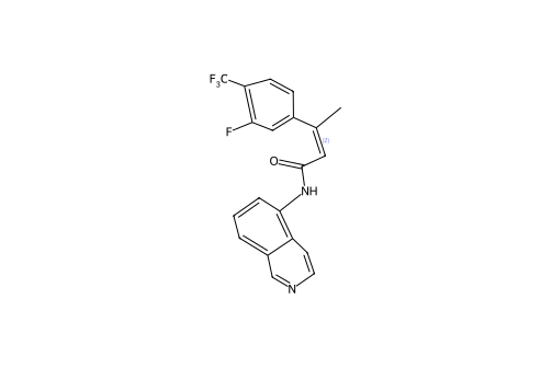 C/C(=C/C(=O)Nc1cccc2cnccc12)c1ccc(C(F)(F)F)c(F)c1